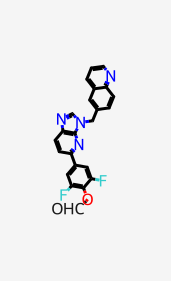 O=COc1c(F)cc(-c2ccc3ncn(Cc4ccc5ncccc5c4)c3n2)cc1F